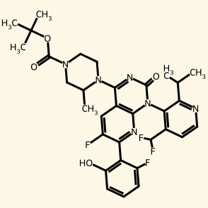 CC(C)c1nccc(C(F)F)c1-n1c(=O)nc(N2CCN(C(=O)OC(C)(C)C)CC2C)c2cc(F)c(-c3c(O)cccc3F)nc21